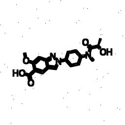 COc1cc2nn(C3CCC(N(C)C(=O)[C@@H](C)O)CC3)cc2cc1C(=O)O